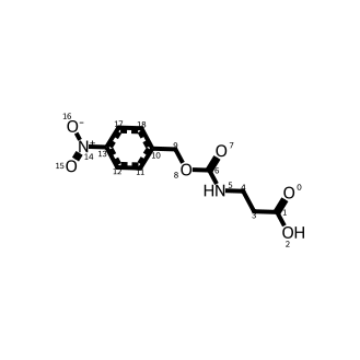 O=C(O)CCNC(=O)OCc1ccc([N+](=O)[O-])cc1